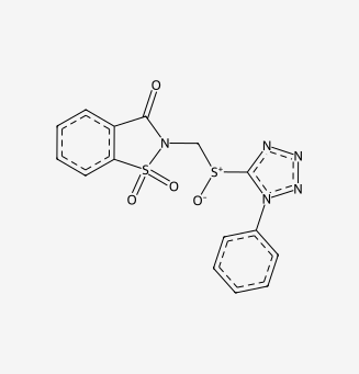 O=C1c2ccccc2S(=O)(=O)N1C[S+]([O-])c1nnnn1-c1ccccc1